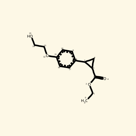 CCOC(=O)C1CC1c1ccc(OCCO)cc1